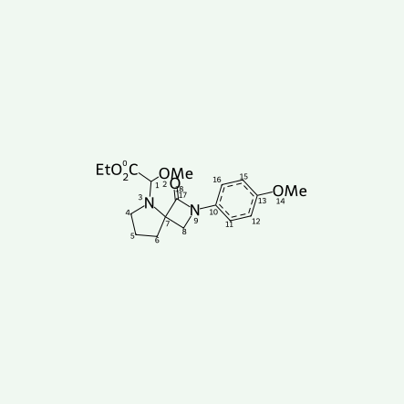 CCOC(=O)C(OC)N1CCCC12CN(c1ccc(OC)cc1)C2=O